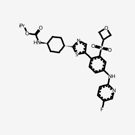 CC(C)OC(=O)N[C@H]1CC[C@H](c2ncc(-c3ccc(Nc4ccc(F)cn4)cc3S(=O)(=O)C3COC3)s2)CC1